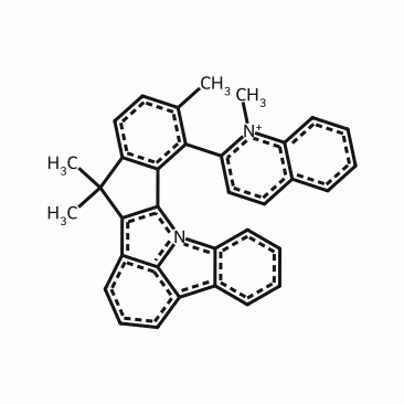 Cc1ccc2c(c1-c1ccc3ccccc3[n+]1C)-c1c(c3cccc4c5ccccc5n1c34)C2(C)C